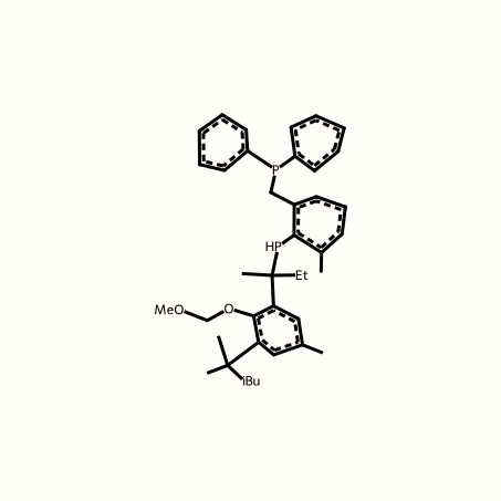 CCC(C)C(C)(C)c1cc(C)cc(C(C)(CC)Pc2c(C)cccc2CP(c2ccccc2)c2ccccc2)c1OCOC